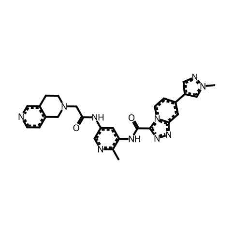 Cc1ncc(NC(=O)CN2CCc3cnccc3C2)cc1NC(=O)c1nnc2cc(-c3cnn(C)c3)ccn12